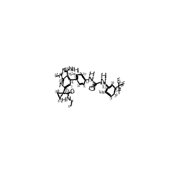 CCNC(=O)C1(c2cc(-c3ccc(NC(=O)Nc4cccc(C(F)(F)F)c4)cc3)c3c(N)nn(C)c3n2)CC1